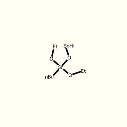 CCC[CH2][Sn]([O][SnH])([O]CC)[O]CC